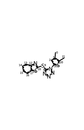 Cc1cc(-n2nnnc2Sc2nc3ccccc3s2)sc1C